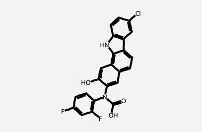 O=C(O)N(c1cc2ccc3c4cc(Cl)ccc4[nH]c3c2cc1O)c1ccc(F)cc1F